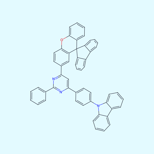 c1ccc(-c2nc(-c3ccc(-n4c5ccccc5c5ccccc54)cc3)cc(-c3ccc4c(c3)C3(c5ccccc5O4)c4ccccc4-c4ccccc43)n2)cc1